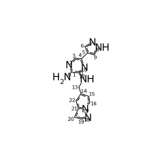 Nc1ncc(-c2cn[nH]c2)nc1NCc1ccn2nccc2c1